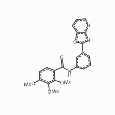 COc1ccc(C(=O)Nc2cccc(-c3nc4ncccc4o3)c2)c(OC)c1OC